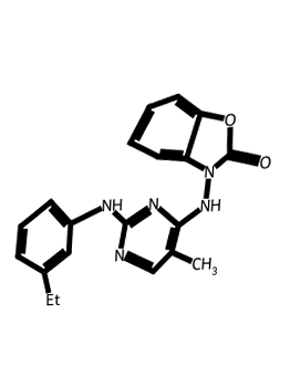 CCc1cccc(Nc2ncc(C)c(Nn3c(=O)oc4ccccc43)n2)c1